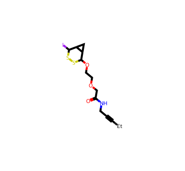 CCC#CCNC(=O)COCCOC1SSC(I)C2CC12